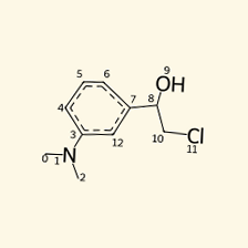 CN(C)c1cccc(C(O)CCl)c1